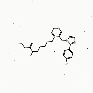 C=C(CCC)C(C)CCCCCc1ccccc1Cn1ccnc1-c1ccc(Br)cc1